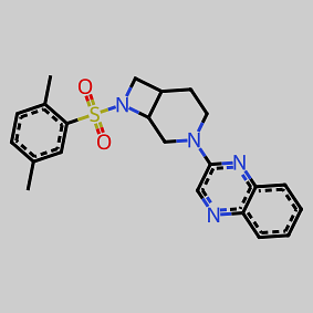 Cc1ccc(C)c(S(=O)(=O)N2CC3CCN(c4cnc5ccccc5n4)CC32)c1